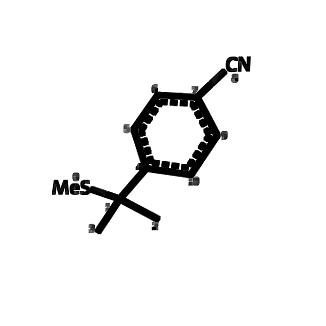 CSC(C)(C)c1ccc(C#N)cc1